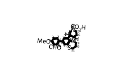 COc1ccc(-c2cc3c4c(c2)[C@@H]2CN(C(=O)O)CC[C@@H]2N4CCCS3)c(C=O)c1